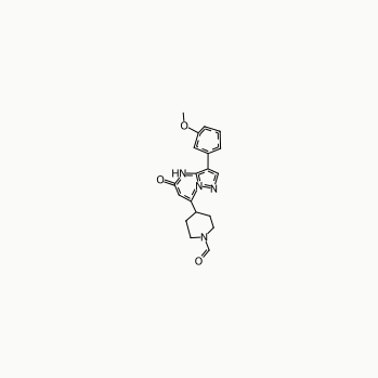 COc1cccc(-c2cnn3c(C4CCN(C=O)CC4)cc(=O)[nH]c23)c1